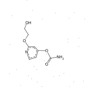 NC(=O)Oc1ccnc(OCCO)c1